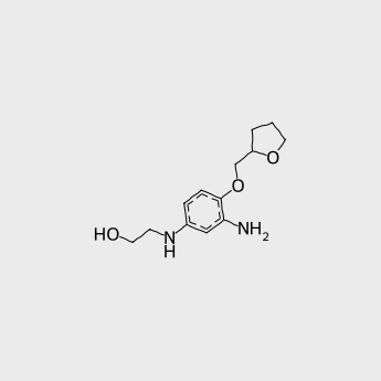 Nc1cc(NCCO)ccc1OCC1CCCO1